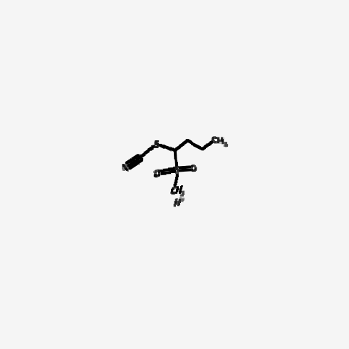 CCCC(SC#N)S(C)(=O)=O.[H+]